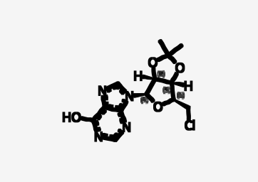 CC1(C)O[C@@H]2[C@H](O1)[C@@H](CCl)O[C@H]2n1cnc2c(O)ncnc21